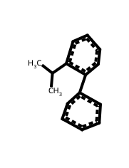 CC(C)c1ccccc1-c1cc[c]cc1